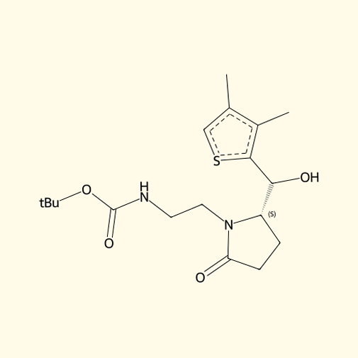 Cc1csc(C(O)[C@@H]2CCC(=O)N2CCNC(=O)OC(C)(C)C)c1C